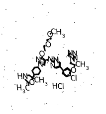 COCCOCCOc1nn(C2CCC([C@@]3(C)CNC[C@@H](C)O3)CC2)cc1Nc1ncc(-c2ccc(Cl)c(OC(C)Cn3cnnn3)c2)cn1.Cl